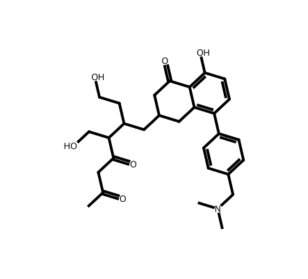 CC(=O)CC(=O)C(CO)C(CCO)CC1CC(=O)c2c(O)ccc(-c3ccc(CN(C)C)cc3)c2C1